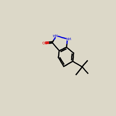 CC(C)(C)c1ccc2c(=O)[nH][nH]c2c1